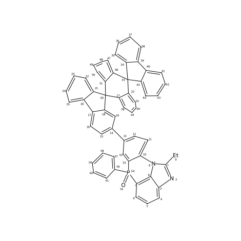 CCc1nc2cccc3c2n1-c1ccc(-c2ccc4c(c2)C2(c5ccccc5-4)c4ccccc4C4(c5ccccc5-c5ccccc54)c4ccccc42)cc1P3(=O)c1ccccc1